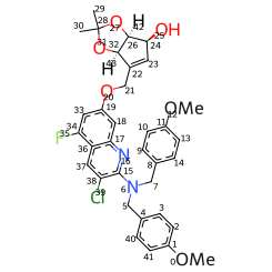 COc1ccc(CN(Cc2ccc(OC)cc2)c2nc3cc(OCC4=C[C@H](O)[C@@H]5OC(C)(C)O[C@H]45)cc(F)c3cc2Cl)cc1